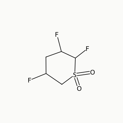 O=S1(=O)CC(F)CC(F)C1F